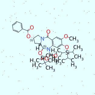 COc1cc2c(cc1O[Si](C(C)C)(C(C)C)C(C)C)N(C(=O)O)[C@@H](O[Si](C)(C)C(C)(C)C)[C@@H]1C[C@H](OC(=O)c3ccccc3)CN1C2=O